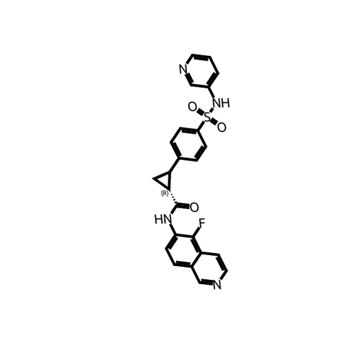 O=C(Nc1ccc2cnccc2c1F)[C@@H]1CC1c1ccc(S(=O)(=O)Nc2cccnc2)cc1